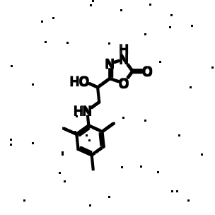 Cc1cc(C)c(NCC(O)c2n[nH]c(=O)o2)c(C)c1